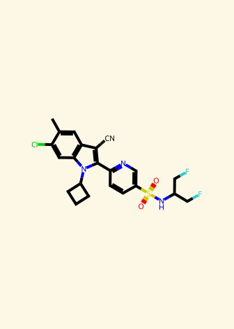 Cc1cc2c(C#N)c(-c3ccc(S(=O)(=O)NC(CF)CF)cn3)n(C3CCC3)c2cc1Cl